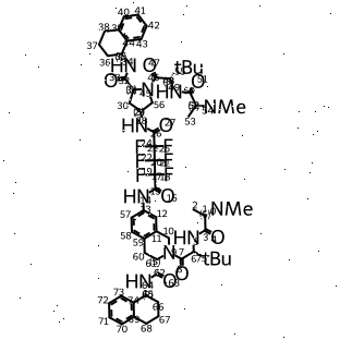 CN[C@@H](C)C(=O)NC(C(=O)N1Cc2cc(NC(=O)C(F)(F)C(F)(F)C(F)(F)C(=O)N[C@H]3C[C@@H](C(=O)N[C@@H]4CCCc5ccccc54)N(C(=O)[C@@H](NC(=O)[C@H](C)NC)C(C)(C)C)C3)ccc2C[C@H]1C(=O)N[C@@H]1CCCc2ccccc21)C(C)(C)C